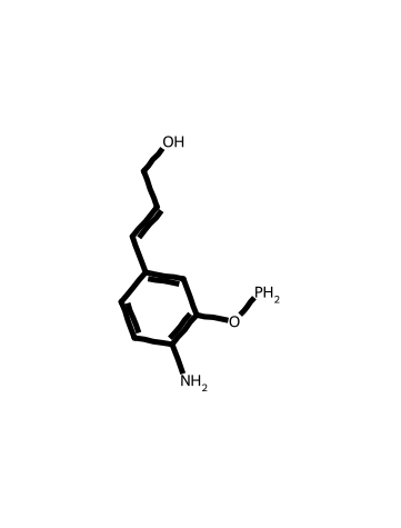 Nc1ccc(/C=C/CO)cc1OP